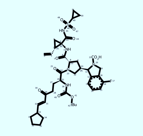 C=C[C@@H]1C[C@]1(NC(=O)[C@@H]1C[C@@H](C2c3cccc(F)c3CN2C(=O)O)CN1C(=O)[C@H](CCC(=O)C=CC1CCCC1)NC(=O)OC(C)(C)C)C(=O)NS(=O)(=O)C1CC1